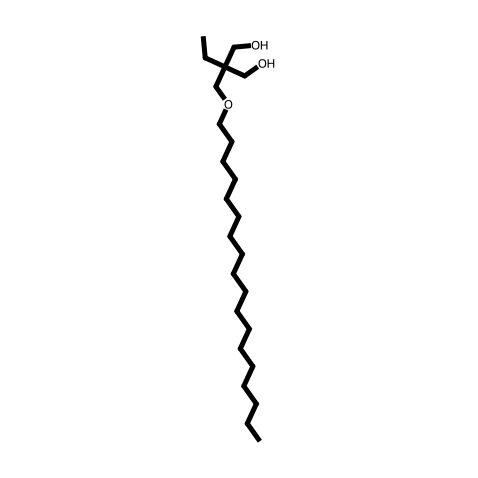 CCCCCCCCCCCCCCCCCCOCC(CC)(CO)CO